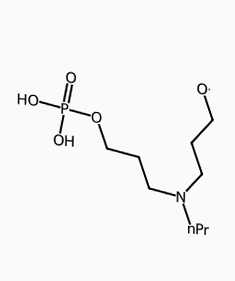 CCCN(CCC[O])CCCOP(=O)(O)O